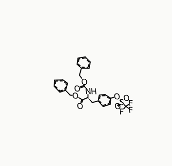 O=C(N[C@@H](Cc1ccc(OS(=O)(=O)C(F)(F)F)cc1)C(=O)OCc1ccccc1)OCc1ccccc1